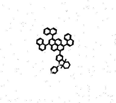 CC12CCCCC1(C)N(c1ccncc1)c1ccc(-c3cc(-c4cccc5ccccc45)c4ccc5c(-c6cccc7ccccc67)cc(-c6cccc7ccccc67)c6ccc3c4c65)cc12